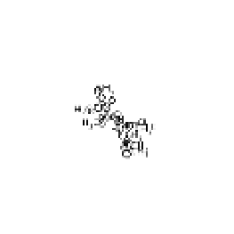 COc1ccc(C(OCC2OC(n3cc(C#CCCCP4(=O)Oc5ccccc5C(C)(C)O4)c(/N=C/N(CC(C)C)CC(C)C)nc3=O)CC2OC(C)=O)(c2ccccc2)c2ccc(OC)cc2)cc1